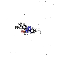 CCS(=N)(=O)c1cc(C2(C#N)CC2)ccc1-n1cc2ccc(C(F)(F)F)cc2n1